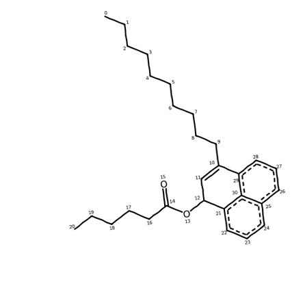 CCCCCCCCCCC1=CC(OC(=O)CCCCC)c2cccc3cccc1c23